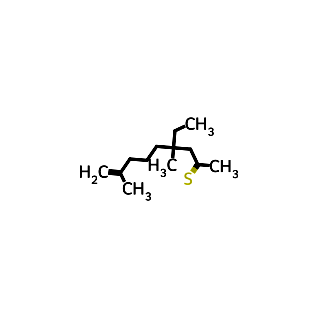 C=C(C)CCCC(C)(CC)CC(C)=S